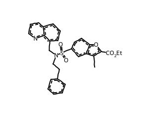 CCOC(=O)c1oc2ccc(S(=O)(=O)N(CCc3ccccc3)Cc3cccc4cccnc34)cc2c1C